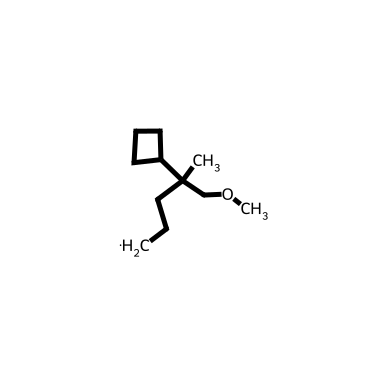 [CH2]CCC(C)(COC)C1CCC1